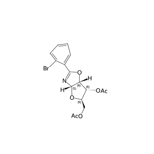 CC(=O)OC[C@H]1O[C@@H]2N=C(c3ccccc3Br)O[C@@H]2[C@@H]1OC(C)=O